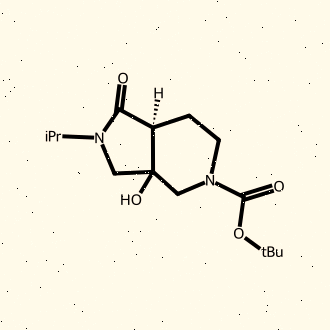 CC(C)N1CC2(O)CN(C(=O)OC(C)(C)C)CC[C@@H]2C1=O